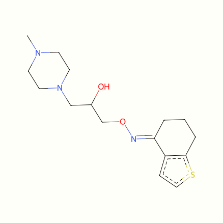 CN1CCN(CC(O)CON=C2CCCc3sccc32)CC1